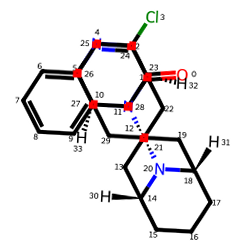 O=c1c(Cl)nc2ccccc2n1[C@H]1C[C@H]2CCC[C@@H](C1)N2[C@H]1C[C@@H]2CCC[C@@H](C2)C1